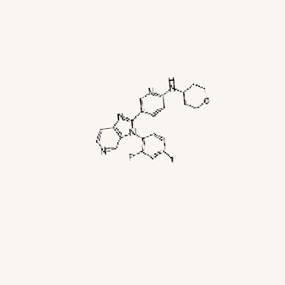 Fc1ccc(-n2c(-c3ccc(NC4CCOCC4)nc3)nc3ccncc32)c(F)c1